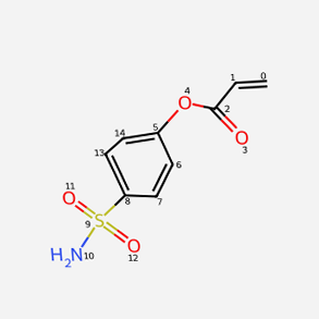 C=CC(=O)Oc1ccc(S(N)(=O)=O)cc1